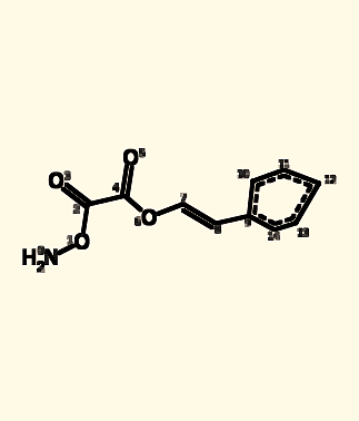 NOC(=O)C(=O)OC=Cc1ccccc1